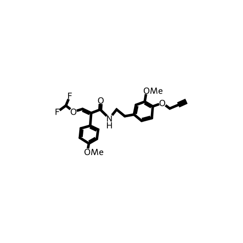 C#CCOc1ccc(CCNC(=O)C(=COC(F)F)c2ccc(OC)cc2)cc1OC